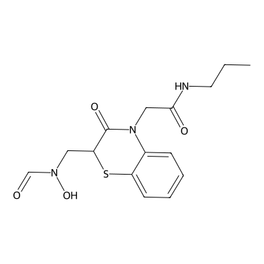 CCCNC(=O)CN1C(=O)C(CN(O)C=O)Sc2ccccc21